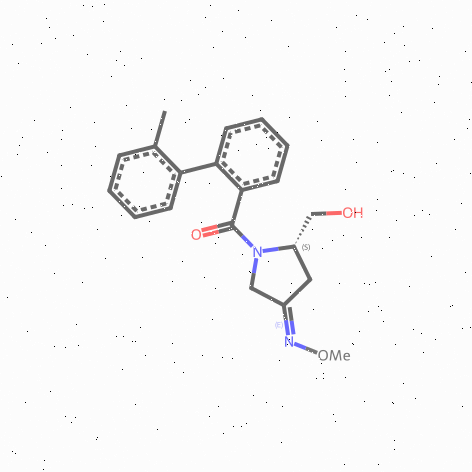 CO/N=C1\C[C@@H](CO)N(C(=O)c2ccccc2-c2ccccc2C)C1